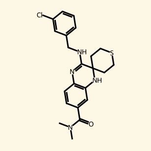 CN(C)C(=O)c1ccc2c(c1)NC1(CCSCC1)C(NCc1cccc(Cl)c1)=N2